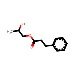 [CH2]C(O)COC(=O)CCc1ccccc1